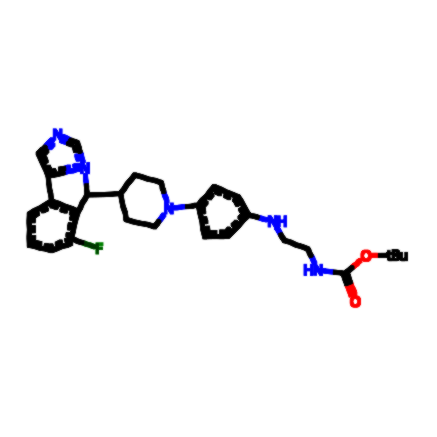 CC(C)(C)OC(=O)NCCNc1ccc(N2CCC(C3c4c(F)cccc4-c4cncn43)CC2)cc1